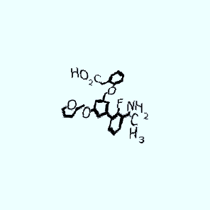 C[C@@H](N)c1cccc(-c2cc(COc3ccccc3CC(=O)O)cc(OCC3CCCO3)c2)c1F